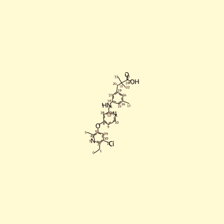 CCc1nc(C)c(Oc2ccnc(Nc3cc(C)cc(CC(C)(C)C(=O)O)c3)c2)cc1Cl